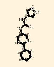 O=C(Nn1cnnc1)Oc1cnc(-c2ccccc2)nc1